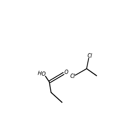 CC(Cl)Cl.CCC(=O)O